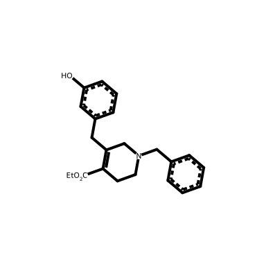 CCOC(=O)C1=C(Cc2cccc(O)c2)CN(Cc2ccccc2)CC1